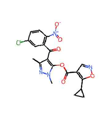 Cc1nn(C)c(OC(=O)c2cnoc2C2CC2)c1C(=O)c1cc(Cl)ccc1[N+](=O)[O-]